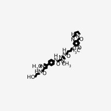 COc1cc2c(cc1OCCCC(=O)Nc1cn(C)c(C(=O)Nc3ccc(-c4cc(C(=O)NCCCO)n(C)c4)cc3)n1)N=C[C@@H]1CCCN1C2=O